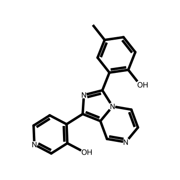 Cc1ccc(O)c(-c2nc(-c3ccncc3O)c3cnccn23)c1